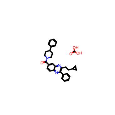 O=C(O)O.O=C(c1ccc2nc(-c3ccccc3)c(CCC3CC3)nc2c1)N1CCC(c2ccccc2)CC1